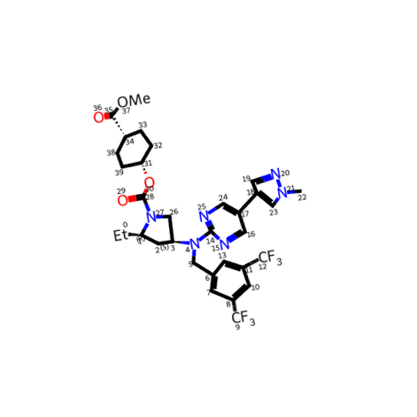 CC[C@@H]1C[C@H](N(Cc2cc(C(F)(F)F)cc(C(F)(F)F)c2)c2ncc(-c3cnn(C)c3)cn2)CN1C(=O)O[C@H]1CC[C@@H](C(=O)OC)CC1